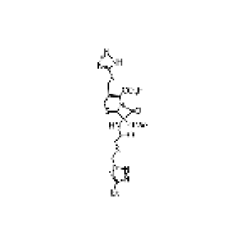 CCc1nnn(CSCC(=O)N[C@]2(OC)C(=O)N3C(C(=O)O)=C(CSc4ncn[nH]4)CSC32)n1